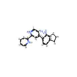 Nc1c(-c2ccnc(-c3ccccn3)c2)ccc2c1CCC2